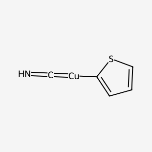 N=[C]=[Cu][c]1cccs1